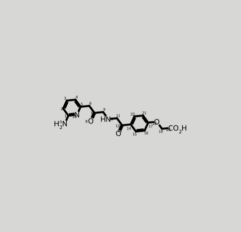 Nc1cccc(CC(=O)CNCC(=O)c2ccc(OCC(=O)O)cc2)n1